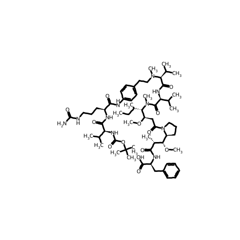 CCC(C)[C@@H]([C@@H](CC(=O)N1CCC[C@H]1[C@H](OC)[C@@H](C)C(=O)N[C@@H](Cc1ccccc1)C(=O)O)OC)N(C)C(=O)[C@@H](NC(=O)[C@H](C(C)C)N(C)CCc1ccc(NC(=O)[C@H](CCCNC(N)=O)NC(=O)[C@@H](NC(=O)OC(C)(C)C)C(C)C)cc1)C(C)C